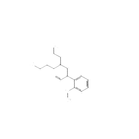 CCCCC(CCC)CC(C=O)c1ccccc1OC